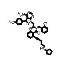 Nc1ncnc2c1c(-c1ccc(O)cc1)nn2Cc1nc2cccc(C#CCCCNC3CCCC3)c2c(=O)n1Cc1ccccc1Cl